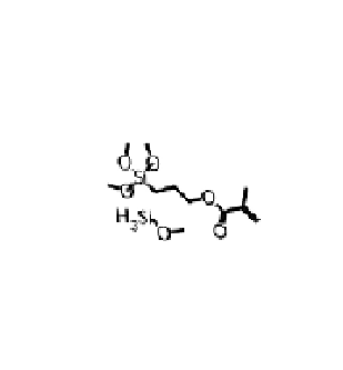 C=C(C)C(=O)OCCC[Si](OC)(OC)OC.CO[SiH3]